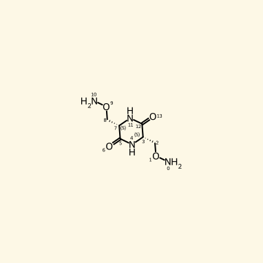 NOC[C@@H]1NC(=O)[C@H](CON)NC1=O